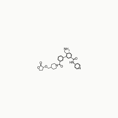 NCc1ccc(C(=O)Nc2ccncc2)cc1-c1cccc(C(=O)N2CCC(COC3CCOC3=O)CC2)c1